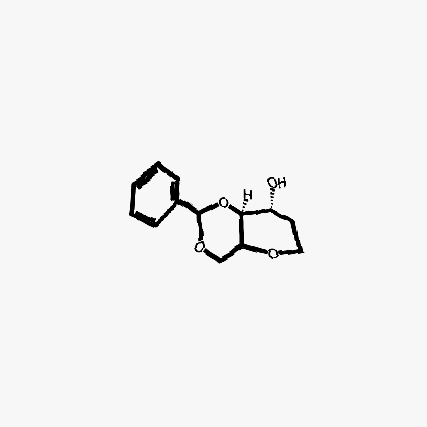 O[C@@H]1CCOC2COC(c3ccccc3)O[C@H]21